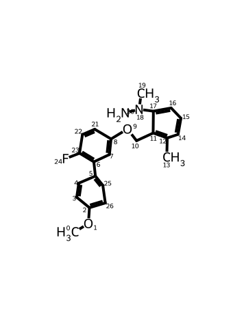 COc1ccc(-c2cc(OCc3c(C)cccc3N(C)N)ccc2F)cc1